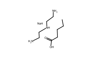 CCCCC(=O)O.NCCNCCN.[NaH]